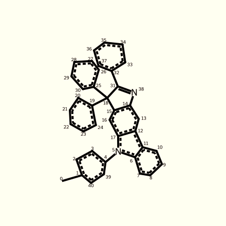 Cc1ccc(-n2c3ccccc3c3cc4c(cc32)C(c2ccccc2)(c2ccccc2)C(c2ccccc2)=N4)cc1